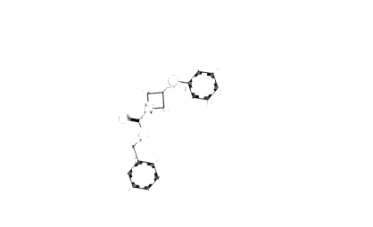 O=C(OCc1ccccc1)N1CC(Oc2ccccc2)C1